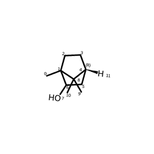 CC12CC[C@H](CC1O)C2(C)C